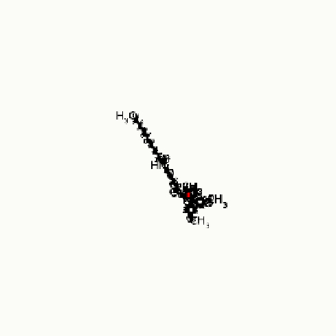 CCCCCCCCCCCCCCCC(=O)NCCOCCOCC(=O)N1C[C@H](OC(c2ccccc2)(c2ccc(OC)cc2)c2ccc(OC)cc2)CC1C